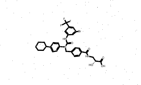 O=C(NC[C@@H](O)C(=O)O)c1ccc(CN(C(=O)Nc2cc(Br)cc(C(F)(F)F)c2)c2ccc(C3CCCCC3)cc2)cc1